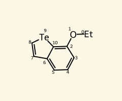 CCOc1cccc2cc[te]c12